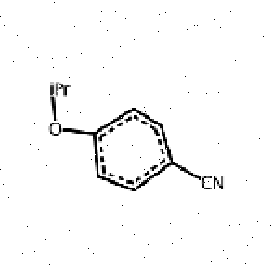 CC(C)Oc1ccc(C#N)cc1